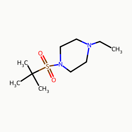 CCN1CCN(S(=O)(=O)C(C)(C)C)CC1